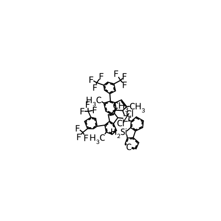 CC1=Cc2c(ccc(C)c2-c2cc(C(F)(F)F)cc(C(F)(F)F)c2)[CH]1[Zr]([Cl])([Cl])([c]1cccc2c1[SiH2]c1ccccc1-2)[CH]1C(C)=Cc2c1ccc(C)c2-c1cc(C(F)(F)F)cc(C(F)(F)F)c1